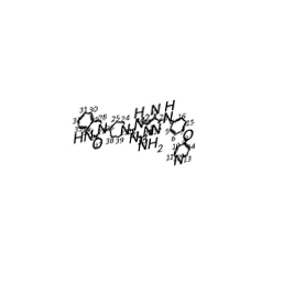 Nc1c(Nc2ccc(Oc3ccncc3)cc2)nn2c(N)nc(N3CCC(N4Cc5ccccc5NC4=O)CC3)nc12